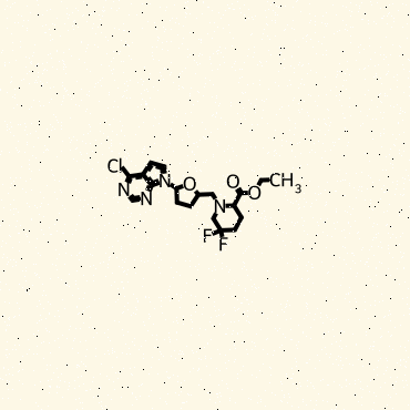 CCOC(=O)C1CCC(F)(F)CN1CC1CCC(n2ccc3c(Cl)ncnc32)O1